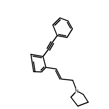 C(#Cc1ccccc1/C=C/CN1CCCC1)c1ccccc1